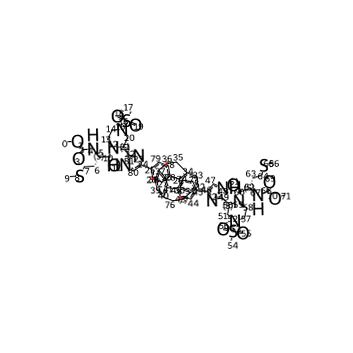 COC(=O)N[C@@H](CCSC)C(=O)N1CCN(S(C)(=O)=O)C[C@H]1c1nc(-c2ccc(-c3cc4ccc3CCc3ccc(c(-c5ccc(-c6c[nH]c([C@@H]7CN(S(C)(=O)=O)CCN7C(=O)[C@H](CCSC)NC(=O)OC)n6)cc5)c3)CC4)cc2)c[nH]1